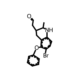 CC1Nc2ccc(Br)c(Oc3ccccc3)c2CC1CC=O